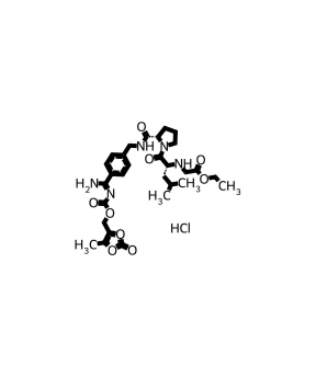 CCOC(=O)CN[C@H](CC(C)C)C(=O)N1CCC[C@H]1C(=O)NCc1ccc(C(N)=NC(=O)OCc2oc(=O)oc2C)cc1.Cl